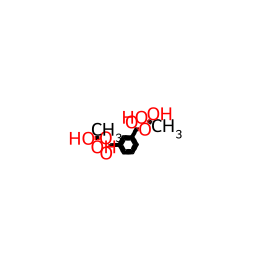 CC(O)(O)OC(=O)c1cccc(C(=O)OC(C)(O)O)c1